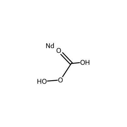 O=C(O)OO.[Nd]